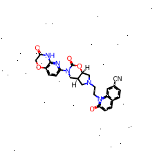 N#Cc1ccc2ccc(=O)n(CCN3C[C@H]4CN(c5ccc6c(n5)NC(=O)CO6)C(=O)O[C@@H]4C3)c2c1